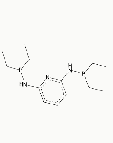 CCP(CC)Nc1cccc(NP(CC)CC)n1